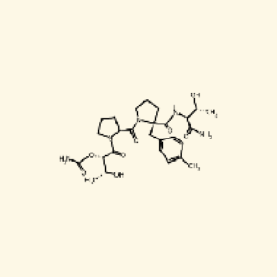 Cc1ccc(C[C@]2(C(=O)N[C@H](C(N)=O)[C@@H](C)O)CCCN2C(=O)[C@@H]2CCCN2C(=O)[C@@H](OC(N)=O)[C@@H](C)O)cc1